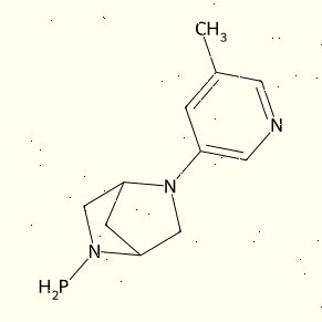 Cc1cncc(N2CC3CC2CN3P)c1